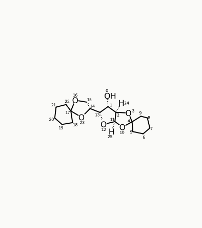 O[C@@H]1[C@H]2OC3(CCCCC3)O[C@H]2O[C@@H]1[C@H]1COC2(CCCCC2)O1